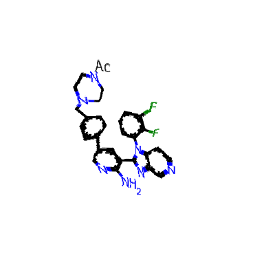 CC(=O)N1CCN(Cc2ccc(-c3cnc(N)c(-c4nc5cnccc5n4-c4cccc(F)c4F)c3)cc2)CC1